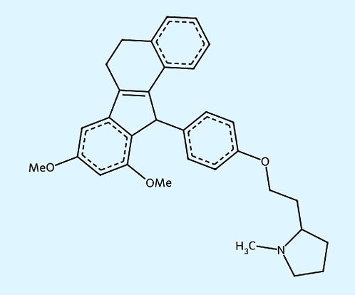 COc1cc(OC)c2c(c1)C1=C(c3ccccc3CC1)C2c1ccc(OCCC2CCCN2C)cc1